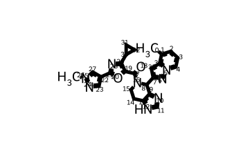 Cc1cccn2nc(C3c4nc[nH]c4CCN3C(=O)c3oc(-c4cnn(C)c4)nc3C3CC3)cc12